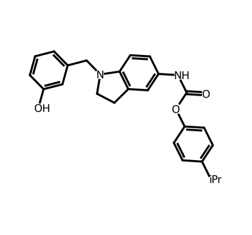 CC(C)c1ccc(OC(=O)Nc2ccc3c(c2)CCN3Cc2cccc(O)c2)cc1